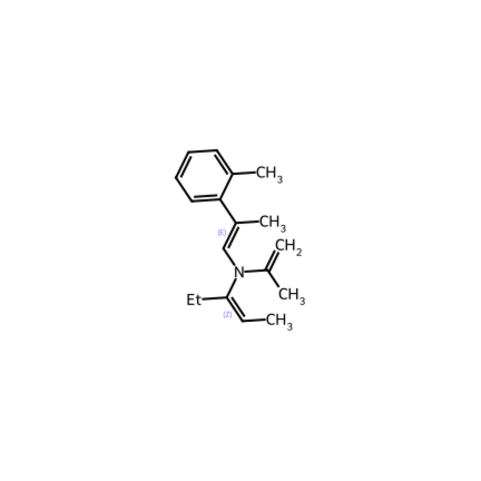 C=C(C)N(/C=C(\C)c1ccccc1C)/C(=C\C)CC